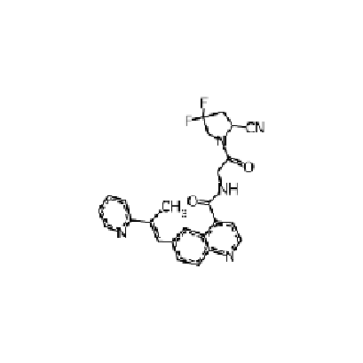 CC(=Cc1ccc2nccc(C(=O)NCC(=O)N3CC(F)(F)CC3C#N)c2c1)c1ccccn1